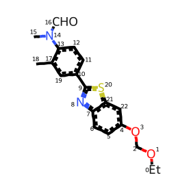 CCOCOc1ccc2nc(-c3ccc(N(C)C=O)c(C)c3)sc2c1